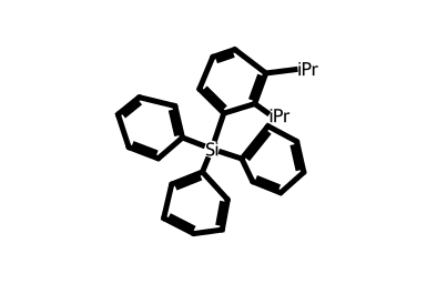 CC(C)c1cccc([Si](c2ccccc2)(c2ccccc2)c2ccccc2)c1C(C)C